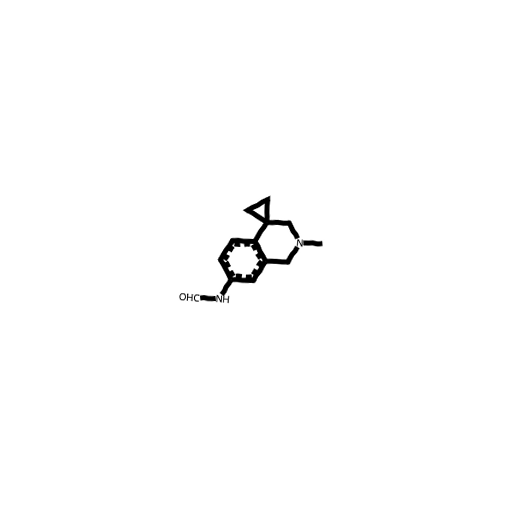 CN1Cc2cc(NC=O)ccc2C2(CC2)C1